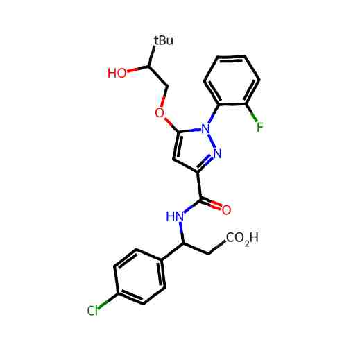 CC(C)(C)C(O)COc1cc(C(=O)NC(CC(=O)O)c2ccc(Cl)cc2)nn1-c1ccccc1F